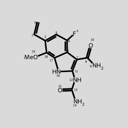 C=Cc1cc(F)c2c(C(N)=O)c(NC(N)=O)[nH]c2c1OC